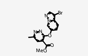 COC(=O)c1cc(C)nnc1Oc1ccc2c(Br)cnn2c1